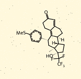 CSc1ccc([C@H]2C[C@@]3(C)[C@@H](CC[C@@]3(O)C(F)(F)C(F)(F)F)[C@@H]3CCC4=CC(=O)CCC4=C32)cc1